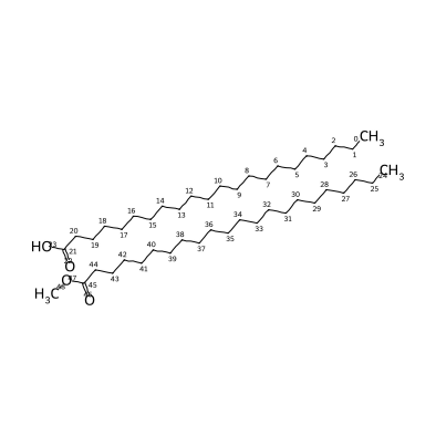 CCCCCCCCCCCCCCCCCCCCCC(=O)O.CCCCCCCCCCCCCCCCCCCCCC(=O)OC